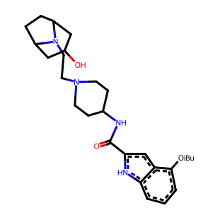 CC(C)COc1cccc2[nH]c(C(=O)NC3CCN(CCN4C5CCC4CC(O)C5)CC3)cc12